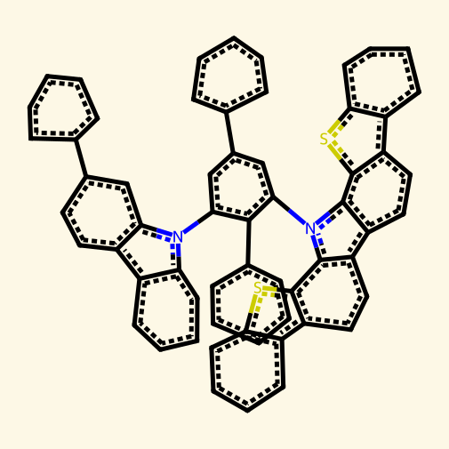 c1ccc(-c2cc(-n3c4ccccc4c4ccc(-c5ccccc5)cc43)c(-c3ccccc3)c(-n3c4c(ccc5c6ccccc6sc54)c4ccc5c6ccccc6sc5c43)c2)cc1